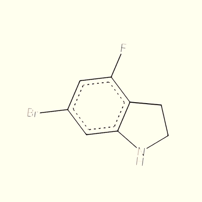 Fc1cc(Br)cc2c1CCN2